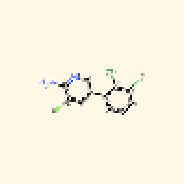 Nc1ncc(-c2cccc(Cl)c2Cl)cc1F